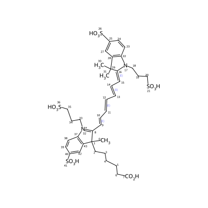 CC1(CCCCCC(=O)O)C(/C=C/C=C/C=C/C=C2/N(CCCS(=O)(=O)O)c3ccc(S(=O)(=O)O)cc3C2(C)C)=[N+](CCCS(=O)(=O)O)c2ccc(S(=O)(=O)O)cc21